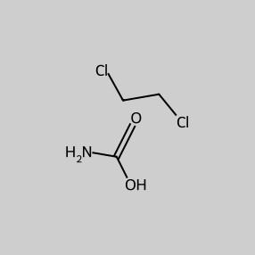 ClCCCl.NC(=O)O